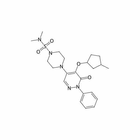 CC1CCC(Oc2c(N3CCN(S(=O)(=O)N(C)C)CC3)cnn(-c3ccccc3)c2=O)C1